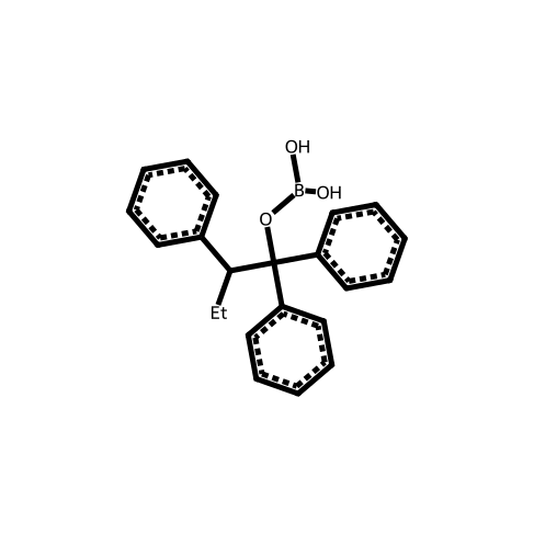 CCC(c1ccccc1)C(OB(O)O)(c1ccccc1)c1ccccc1